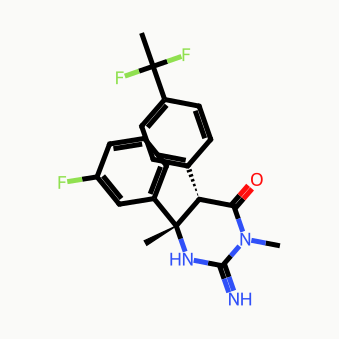 CN1C(=N)N[C@](C)(c2cccc(F)c2)[C@H](c2ccc(C(C)(F)F)cc2)C1=O